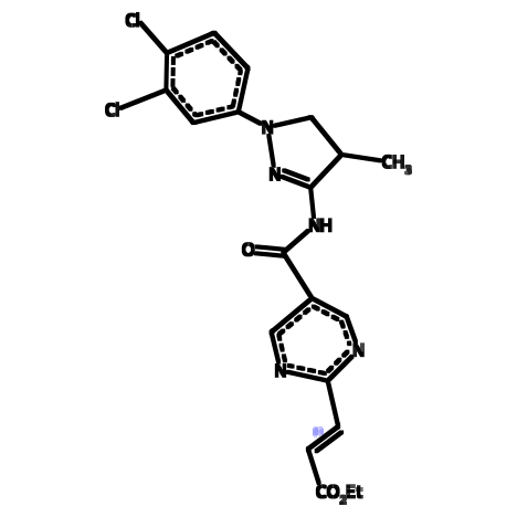 CCOC(=O)/C=C/c1ncc(C(=O)NC2=NN(c3ccc(Cl)c(Cl)c3)CC2C)cn1